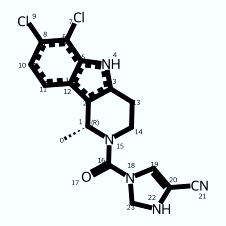 C[C@@H]1c2c([nH]c3c(Cl)c(Cl)ccc23)CCN1C(=O)N1C=C(C#N)NC1